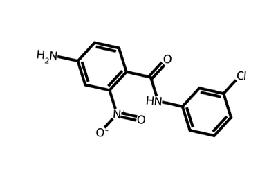 Nc1ccc(C(=O)Nc2cccc(Cl)c2)c([N+](=O)[O-])c1